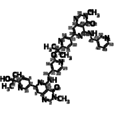 Cn1cnc2cc(-c3ccc(C(C)(C)O)nc3)nc(NCc3ccnc(OC(C)(C)c4ccc(-c5cc6ncn(C)c(=O)c6c(NCc6cccnc6)n5)cn4)c3)c2c1=O